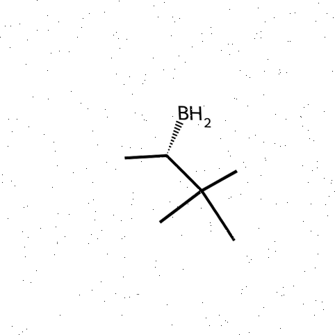 B[C@@H](C)C(C)(C)C